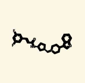 O=C(/C=C/c1cc(F)cc(F)c1)N[C@H]1CC[C@@H](CN2CCC(c3coc4ccccc34)CC2)C1